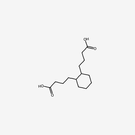 O=C(O)CCCC1CCCCC1CCCC(=O)O